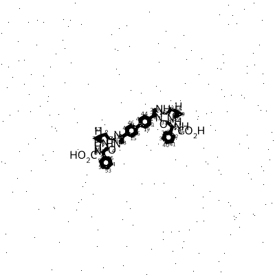 O=C(O)N[C@@H](C(=O)N1[C@@H]2C[C@@H]2C[C@H]1c1nc(-c2ccc(-c3ccc(-c4c[nH]c([C@@H]5C[C@H]6C[C@H]6N5C(=O)[C@H](NC(=O)O)c5ccccc5)n4)cc3)cc2)c[nH]1)c1ccccc1